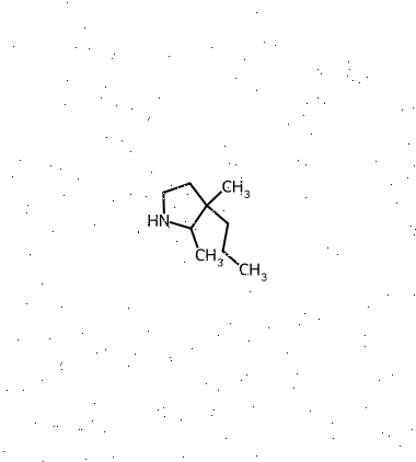 CCCC1(C)CCNC1C